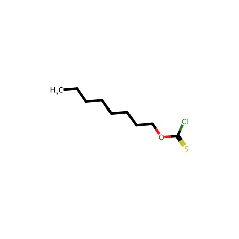 CCCCCCCCOC(=S)Cl